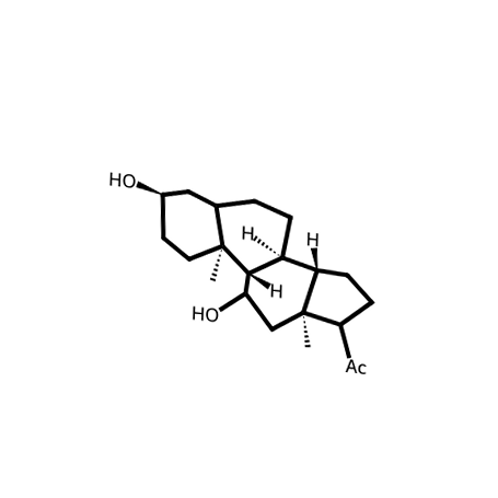 CC(=O)C1CC[C@H]2[C@@H]3CCC4C[C@H](O)CC[C@]4(C)[C@H]3C(O)C[C@]12C